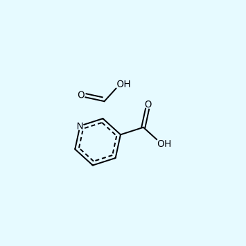 O=C(O)c1cccnc1.O=CO